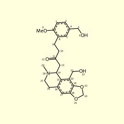 COc1ccc(CO)cc1CCC(=O)CC1c2c(cc3c(c2CO)OCO3)CCN1C